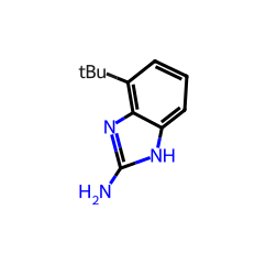 CC(C)(C)c1cccc2[nH]c(N)nc12